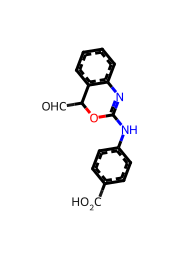 O=CC1OC(Nc2ccc(C(=O)O)cc2)=Nc2ccccc21